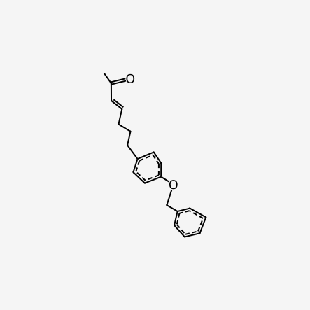 CC(=O)C=CCCCc1ccc(OCc2ccccc2)cc1